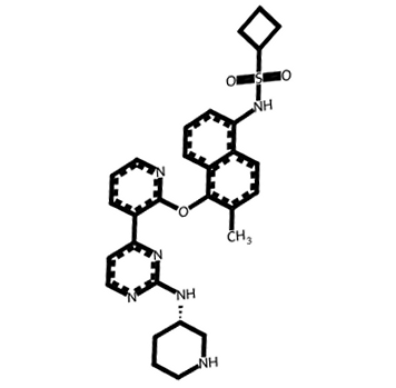 Cc1ccc2c(NS(=O)(=O)C3CCC3)cccc2c1Oc1ncccc1-c1ccnc(N[C@H]2CCCNC2)n1